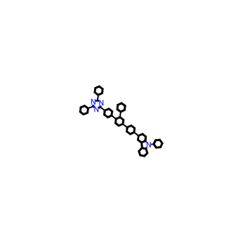 c1ccc(-c2nc(-c3ccccc3)nc(-c3ccc(-c4ccc(-c5ccc(-c6ccc7c(c6)c6ccccc6n7-c6ccccc6)cc5)cc4-c4ccccc4)cc3)n2)cc1